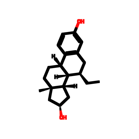 CC[C@@H]1Cc2cc(O)ccc2[C@H]2CC[C@]3(C)C[C@@H](O)C[C@H]3[C@H]12